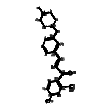 CN1CCN(Cc2cccc(C=CC(=O)c3ccc(Cl)cc3Cl)c2)CC1